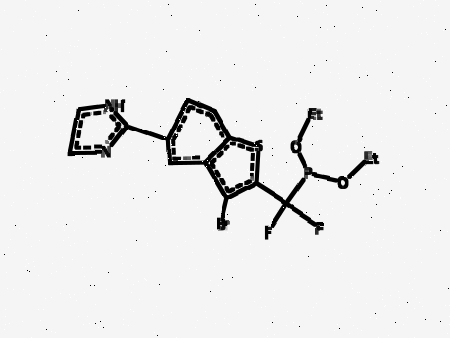 CCOP(OCC)C(F)(F)c1sc2ccc(-c3ncc[nH]3)cc2c1Br